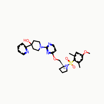 COc1cc(C)c(S(=O)(=O)N2CCC[C@H]2COc2ccnc(N3CCC(O)(c4ccccn4)CC3)n2)c(C)c1